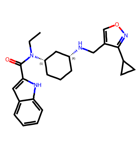 CCN(C(=O)c1cc2ccccc2[nH]1)[C@H]1CCC[C@@H](NCc2conc2C2CC2)C1